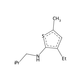 CCc1cc(C)sc1NCC(C)C